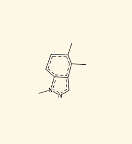 Cc1ccc2c(cnn2C)c1C